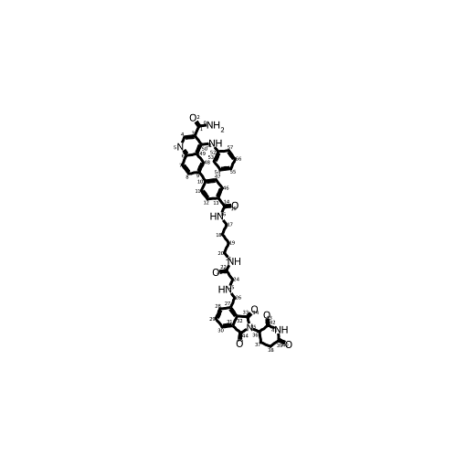 NC(=O)c1cnc2ccc(-c3ccc(C(=O)NCCCCNC(=O)CNCc4cccc5c4C(=O)N(C4CCC(=O)NC4=O)C5=O)cc3)cc2c1Nc1ccccc1